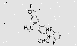 Cc1cc2oc(F)cc2cc1-c1ccc(N(C=O)c2c(F)cccc2F)nc1